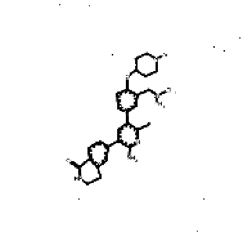 CC(=O)N1CCC(Oc2ccc(-c3cc(-c4ccc5c(c4)CCNC5=O)c(N)nc3F)cc2CN(C)C)CC1